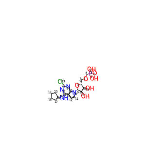 O=P(O)(O)COCC1O[C@@H](n2ccc3c(NC4CCCC4)nc(Cl)nc32)[C@H](O)[C@@H]1O